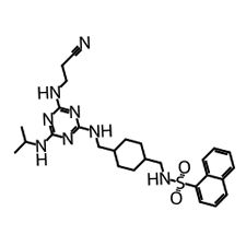 CC(C)Nc1nc(NCCC#N)nc(NCC2CCC(CNS(=O)(=O)c3cccc4ccccc34)CC2)n1